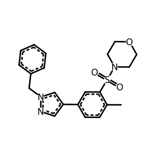 Cc1ccc(-c2cnn(Cc3ccccc3)c2)cc1S(=O)(=O)N1CCOCC1